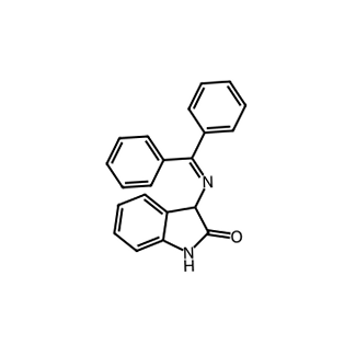 O=C1Nc2ccccc2C1N=C(c1ccccc1)c1ccccc1